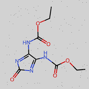 CCOC(=O)NC1=NC(=O)N=C1NC(=O)OCC